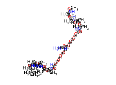 CCC(=O)NCC(C)(C)COCC(C)(C)CNC(=O)CC(C)(C)COCC(C)(C)CNC(=O)CCOCCOCCOCCOCCN(CCOCCOCCOCCOCCC(=O)NCC(C)(C)COCC(C)(C)CC(=O)NCC(C)(C)COCC(C)(C)CNC(=O)C(C)(C)CCC(C)(C)C)C(=O)CCN